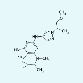 COCC(C)n1cc(Nc2nc(N(C)C(C)C3CC3)c3cc[nH]c3n2)cn1